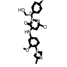 COc1cc(Nc2cc(Cl)nn([C@@H](CO)c3ccc(F)cc3)c2=O)ccc1-n1cnc(C)c1